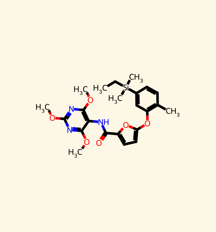 CC[Si](C)(C)c1ccc(C)c(Oc2ccc(C(=O)Nc3c(OC)nc(OC)nc3OC)o2)c1